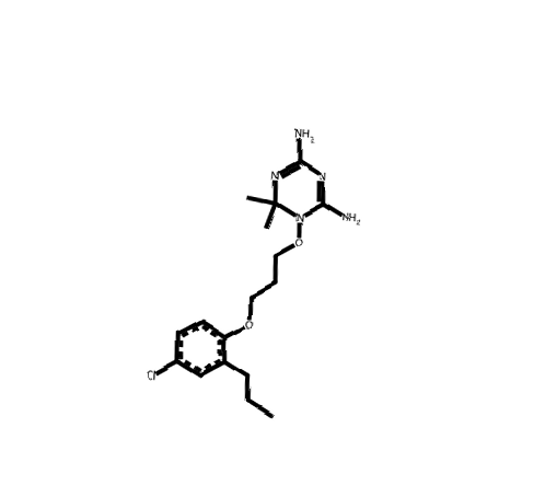 CCCc1cc(Cl)ccc1OCCCON1C(N)=NC(N)=NC1(C)C